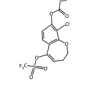 CC(C)(C)C(=O)Oc1ccc2c(c1Cl)OCCC=C2OS(=O)(=O)C(F)(F)F